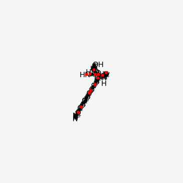 CNCCCC[C@H](NC(=O)[C@H](Cc1c[nH]c2ccccc12)NC(=O)CCOCCOCCOCCOCCOCCOCCOCCOCCOCCN=[N+]=[N-])C(=O)Nc1ccc(CO)cc1